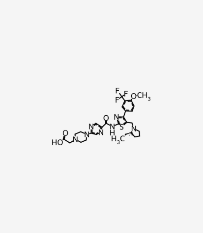 CC[C@@H]1CCCN1Cc1sc(NC(=O)c2cnc(N3CCN(CC(=O)O)CC3)cn2)nc1-c1ccc(OC)c(C(F)(F)F)c1